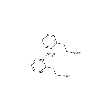 CCCCCCCCCCCCc1ccccc1.CCCCCCCCCCCCc1ccccc1S(=O)(=O)O